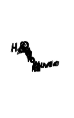 CNc1nc(-c2ccc(N3CCN(S(C)(=O)=O)CC3)nc2)cc2nccnc12